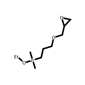 CC[O][Zr]([CH3])([CH3])[CH2]CCOCC1CO1